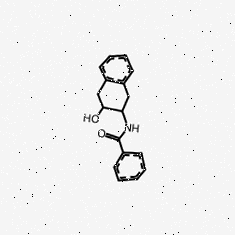 O=C(NC1Cc2ccccc2CC1O)c1ccccc1